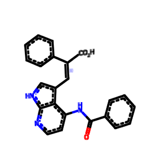 O=C(O)/C(=C/c1c[nH]c2nccc(NC(=O)c3ccccc3)c12)c1ccccc1